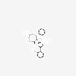 O=C(O)C[C@@]1(c2nc(-c3ccccc3Cl)cs2)C(=O)NCC(O)C[C@H]1c1ccccc1